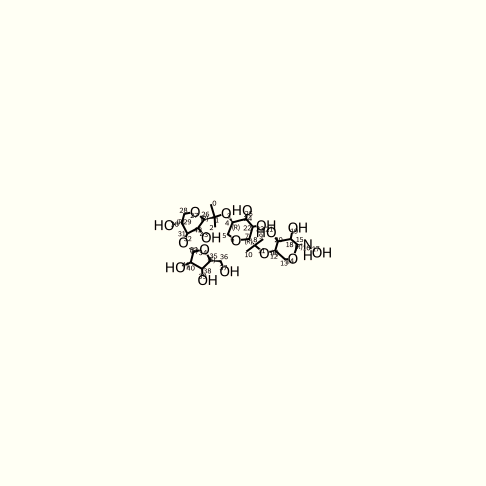 CC(C)(O[C@@H]1CO[C@@H](C(C)(C)O[C@@H]2CO[C@@H](NO)C(O)C2O)C(O)C1O)[C@@H]1OC[C@@H](O)C(O[C@@H]2O[C@@H](CO)C(O)C2O)C1O